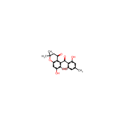 Cc1cc(O)c(C(=O)c2c(C=O)c(O)cc3c2C(=O)CC(C)(C)O3)c(O)c1